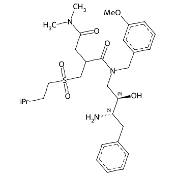 COc1cccc(CN(C[C@@H](O)[C@@H](N)Cc2ccccc2)C(=O)C(CC(=O)N(C)C)CS(=O)(=O)CCC(C)C)c1